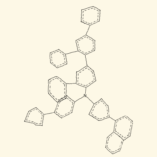 c1ccc(-c2ccc(N(c3ccc(-c4cccc5ccccc45)cc3)c3ccc(-c4ccc(-c5ccccc5)cc4-c4ccccc4)cc3-c3ccccc3)cc2)cc1